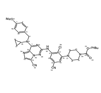 COc1ccc(CN(c2nc(Nc3cc(C#N)cc(N4CCN(C(=O)OC(C)(C)C)CC4)c3Cl)nn3c(C#N)cnc23)C2CC2)cc1